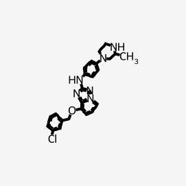 CC1CN(c2ccc(Nc3nc4c(OCc5cccc(Cl)c5)cccn4n3)cc2)CCN1